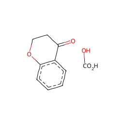 O=C(O)O.O=C1CCOc2ccccc21